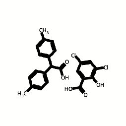 Cc1ccc(C(C(=O)O)c2ccc(C)cc2)cc1.O=C(O)c1cc(Cl)cc(Cl)c1O